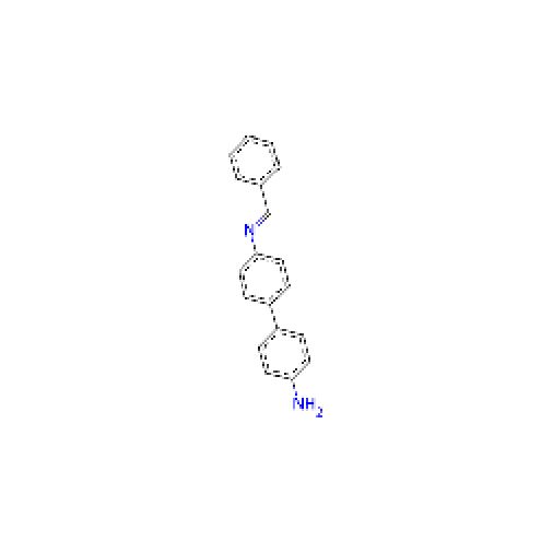 Nc1ccc(-c2ccc(N=Cc3ccccc3)cc2)cc1